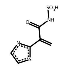 C=C(C(=O)NS(=O)(=O)O)c1nccs1